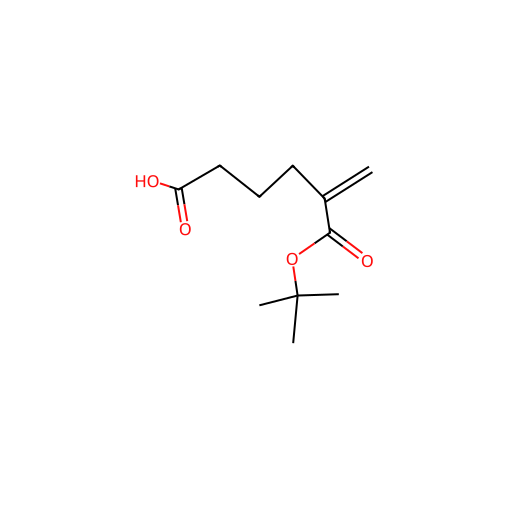 C=C(CCCC(=O)O)C(=O)OC(C)(C)C